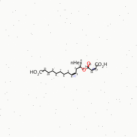 CCCCCCC(C/C=C\CCCCCCCC(=O)O)OC(=O)/C=C\C(=O)O